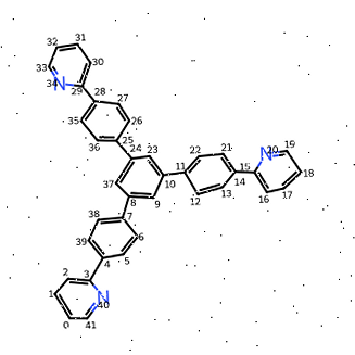 c1ccc(-c2ccc(-c3cc(-c4ccc(-c5ccccn5)cc4)cc(-c4ccc(-c5ccccn5)cc4)c3)cc2)nc1